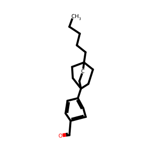 CCCCCC12CCC(c3ccc(C=O)cc3)(CC1)CC2